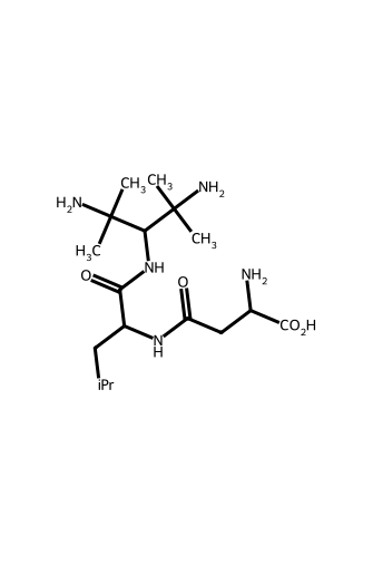 CC(C)CC(NC(=O)CC(N)C(=O)O)C(=O)NC(C(C)(C)N)C(C)(C)N